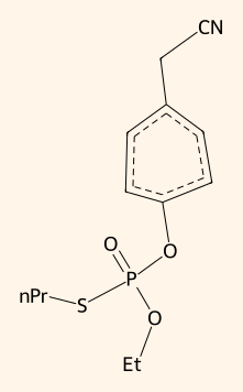 CCCSP(=O)(OCC)Oc1ccc(CC#N)cc1